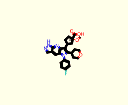 CO[C@@]1(C(=O)O)CCC(c2c(C3CCOCC3)n(-c3ccc(F)cc3)c3cc4cn[nH]c4nc23)C1